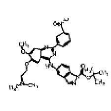 COc1cc2nc(-c3cccc([N+](=O)[O-])c3)nc(Nc3ccc4c(cnn4C(=O)OC(C)(C)C)c3)c2cc1OCCN(C)C